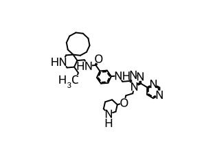 CCC1CNCC2(CCCCCCCCC2)C1CNC(=O)c1cccc(NCc2nnc(-c3ccncn3)n2CCOC2CCCNC2)c1